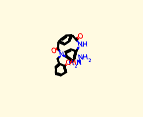 NN.O=C1Nc2ccc(cc2)N(Cc2ccccc2O)C(=O)c2ccc1cc2